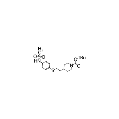 CC(C)(C)OC(=O)N1CCC(CCSc2ccc(NS(C)(=O)=O)cc2)CC1